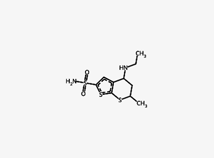 CCNC1CC(C)Sc2sc(S(N)(=O)=O)cc21